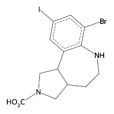 O=C(O)N1CC2CCNc3c(Br)cc(I)cc3C2C1